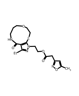 CCc1nn(CCOC(=O)Cc2cc(C)on2)c2c1C(=O)NCCCOCCC2